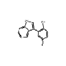 Oc1ccc(Cl)cc1-c1c[nH]c2ccccc12